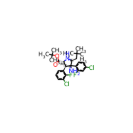 CC(C)(C)C[C@@H]1N[C@@H](C(=O)OC(C)(C)C)[C@H](c2cccc(Cl)c2F)[C@@]1(N)c1ccc(Cl)cc1F